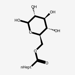 CCCCCCCC(=O)OC[C@H]1OC(O)[C@H](O)[C@@H](O)[C@@H]1O